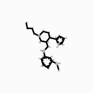 CCCCN1CCC(c2cccs2)C(COc2cccc(OC)c2)C1